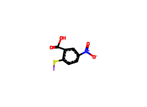 O=C(O)c1cc([N+](=O)[O-])ccc1SI